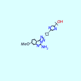 COc1ccc2c(c1)nc(N)n1nc([C@H]3C[C@H](c4cnc(C(C)(C)O)cn4)C3)nc21